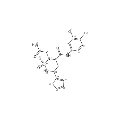 NC(=O)CN1C(C(=O)Nc2ccc(F)c(Cl)c2)CC(c2nccs2)NS1(=O)=O